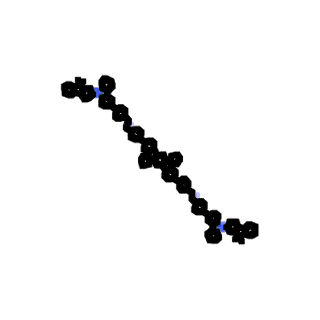 CC1(C)c2ccccc2-c2ccc(-n3c4ccccc4c4cc(-c5ccc(/C=C/c6ccc(-c7ccc8c(c7)C7(CCCC7)c7cc9c(cc7-8)C7(CCCC7)c7cc(-c8ccc(/C=C/c%10ccc(-c%11ccc%12c(c%11)c%11ccccc%11n%12-c%11ccc%12c(c%11)C(C)(C)c%11ccccc%11-%12)cc%10)cc8)ccc7-9)cc6)cc5)ccc43)cc21